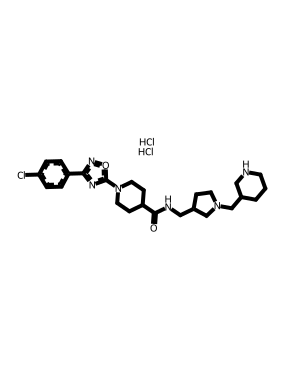 Cl.Cl.O=C(NCC1CCN(CC2CCCNC2)C1)C1CCN(c2nc(-c3ccc(Cl)cc3)no2)CC1